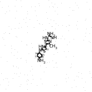 Cc1nc(NC(=N)N)sc1-c1csc(Nc2ccc(N)cc2)n1